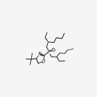 CCCCC(CC)CP(=O)(CC(CC)CCCC)C1=NC(C(C)(C)C)CO1